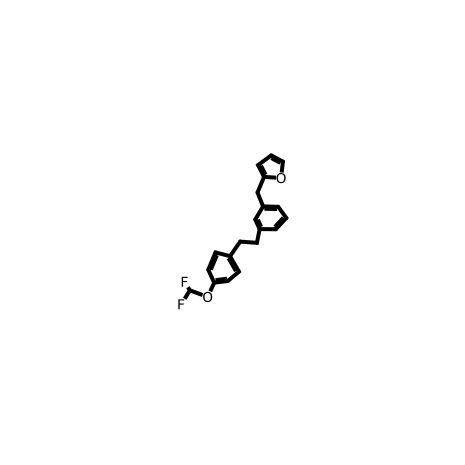 FC(F)Oc1ccc(CCc2cccc(Cc3ccco3)c2)cc1